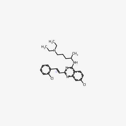 CCN(CC)CCCC(C)Nc1nc(/C=C/c2ccccc2Cl)nc2cc(Cl)ccc12